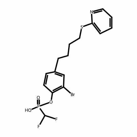 O=P(O)(Oc1ccc(CCCCSc2ccccn2)cc1Br)C(F)F